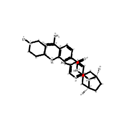 CCN1CCC(Nc2cc(C(=O)N[C@H]3C[C@H]4CC[C@@H](C3)N4c3ccc(C(C)=O)cn3)ccc2C(N)=O)CC1